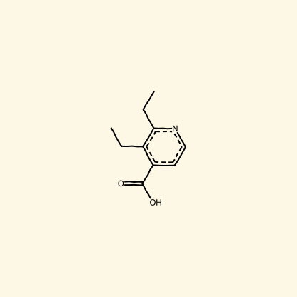 CCc1nccc(C(=O)O)c1CC